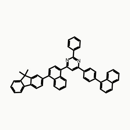 CC1(C)c2ccccc2-c2ccc(-c3ccc(-c4cc(-c5ccc(-c6cccc7ccccc67)cc5)nc(-c5ccccc5)n4)c4ccccc34)cc21